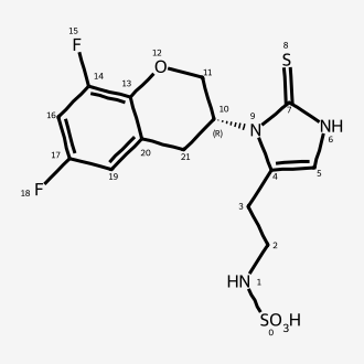 O=S(=O)(O)NCCc1c[nH]c(=S)n1[C@H]1COc2c(F)cc(F)cc2C1